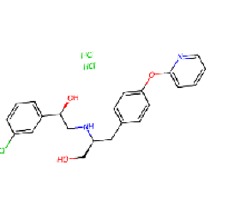 Cl.Cl.OC[C@H](Cc1ccc(Oc2ccccn2)cc1)NC[C@H](O)c1cccc(Cl)c1